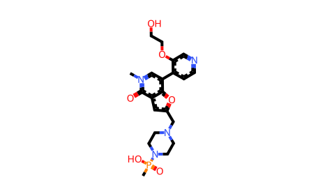 Cn1cc(-c2ccncc2OCCO)c2oc(CN3CCN(P(C)(=O)O)CC3)cc2c1=O